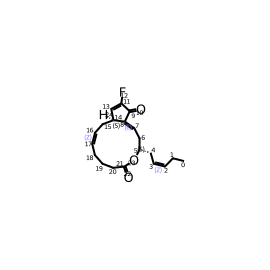 CC/C=C\C[C@H]1C/C=C2/C(=O)C(F)=C[C@@H]2C/C=C\CCCC(=O)O1